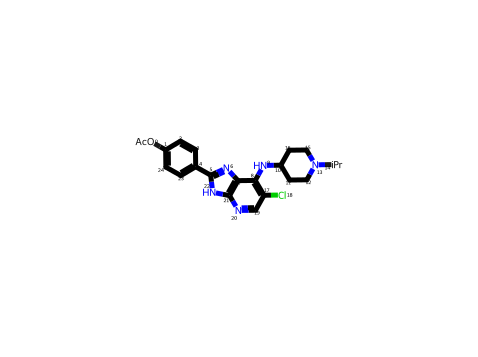 CC(=O)Oc1ccc(-c2nc3c(NC4CCN(C(C)C)CC4)c(Cl)cnc3[nH]2)cc1